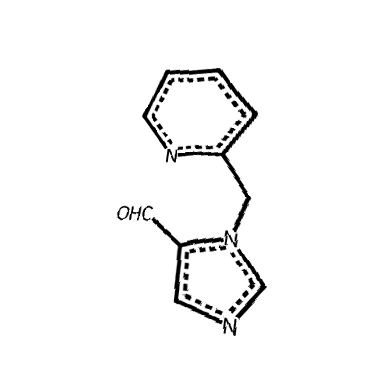 O=Cc1cncn1Cc1ccccn1